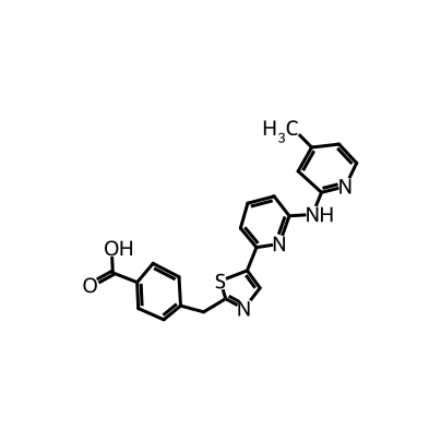 Cc1ccnc(Nc2cccc(-c3cnc(Cc4ccc(C(=O)O)cc4)s3)n2)c1